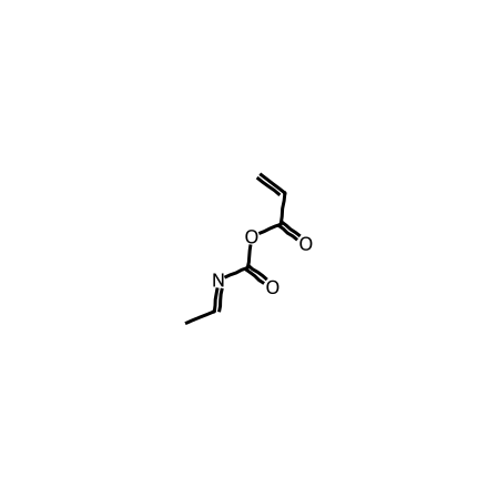 C=CC(=O)OC(=O)N=CC